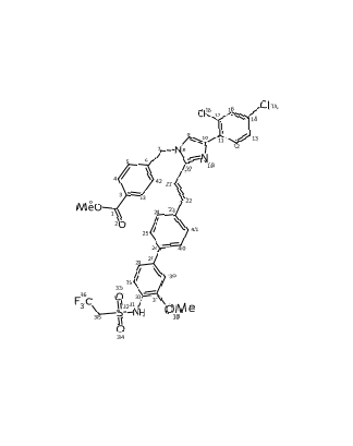 COC(=O)c1ccc(Cn2cc(-c3ccc(Cl)cc3Cl)nc2/C=C/c2ccc(-c3ccc(NS(=O)(=O)CC(F)(F)F)c(OC)c3)cc2)cc1